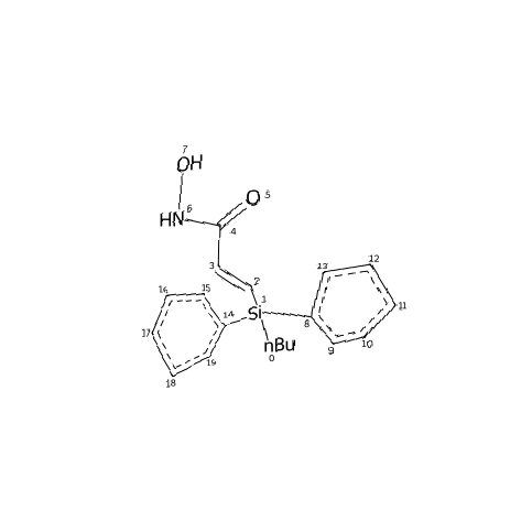 CCCC[Si](C=CC(=O)NO)(c1ccccc1)c1ccccc1